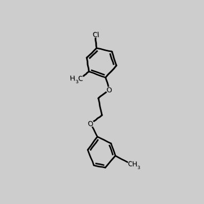 Cc1cccc(OCCOc2ccc(Cl)cc2C)c1